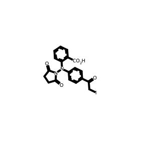 O=C(CI)c1ccc(N(c2ccccc2C(=O)O)N2C(=O)CCC2=O)cc1